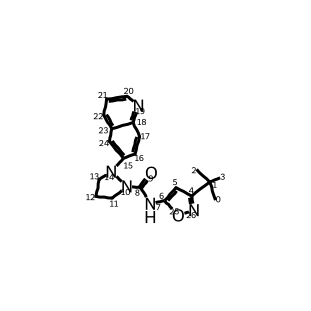 CC(C)(C)c1cc(NC(=O)N2CCCN2c2ccc3ncccc3c2)on1